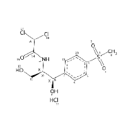 CS(=O)(=O)c1ccc([C@@H](O)[C@@H](CO)NC(=O)C(Cl)Cl)cc1.Cl